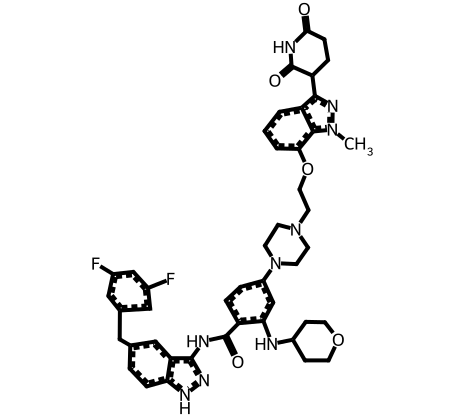 Cn1nc(C2CCC(=O)NC2=O)c2cccc(OCCN3CCN(c4ccc(C(=O)Nc5n[nH]c6ccc(Cc7cc(F)cc(F)c7)cc56)c(NC5CCOCC5)c4)CC3)c21